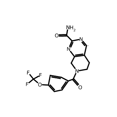 NC(=O)c1n[c]c2c(n1)CN(C(=O)c1ccc(OC(F)(F)F)cc1)CC2